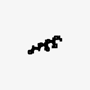 CC(Cl)OC(=O)OCCCl